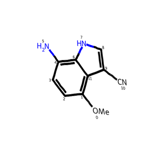 COc1ccc(N)c2[nH]cc(C#N)c12